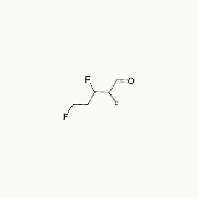 O=CC(F)C(F)CCF